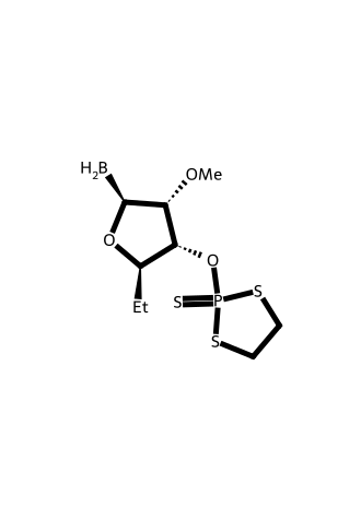 B[C@@H]1O[C@H](CC)[C@@H](OP2(=S)SCCS2)[C@H]1OC